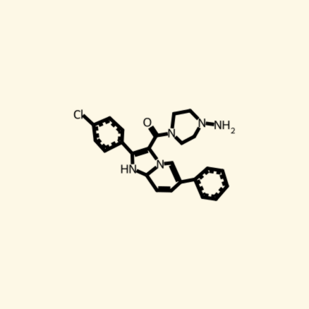 NN1CCN(C(=O)C2=C(c3ccc(Cl)cc3)NC3C=CC(c4ccccc4)=CN23)CC1